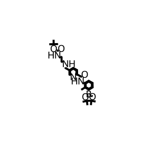 Cc1c(NC(=O)c2ccc(CNCCNC(=O)OC(C)(C)C)cn2)cccc1B1OC(C)(C)C(C)(C)O1